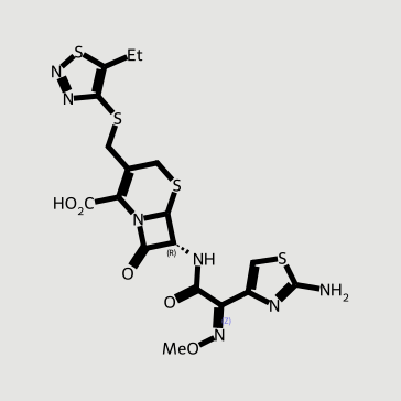 CCc1snnc1SCC1=C(C(=O)O)N2C(=O)[C@@H](NC(=O)/C(=N\OC)c3csc(N)n3)C2SC1